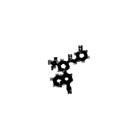 N#Cc1ccc(N2C[C@H](NCC3CCCNC3)C[C@H](C(F)(F)F)C2)c2cccnc12